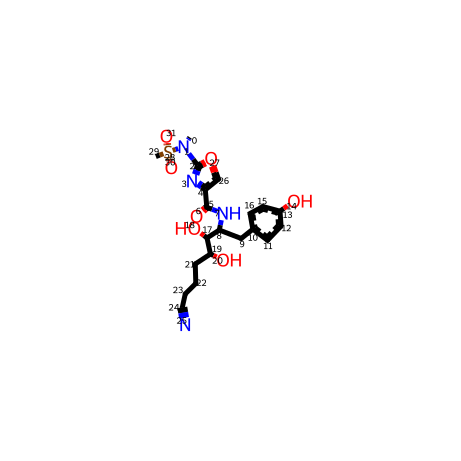 CN(c1nc(C(=O)NC(Cc2ccc(O)cc2)C(O)C(O)CCCC#N)co1)S(C)(=O)=O